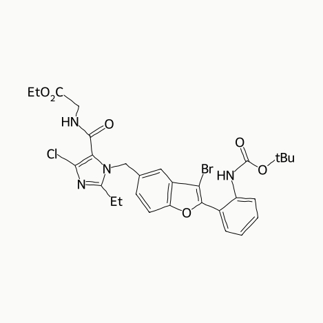 CCOC(=O)CNC(=O)c1c(Cl)nc(CC)n1Cc1ccc2oc(-c3ccccc3NC(=O)OC(C)(C)C)c(Br)c2c1